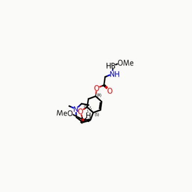 COBNCC(=O)O[C@H]1C=C[C@@]23CCN(C)Cc4ccc(OC)c(c42)O[C@H]3C1